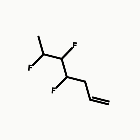 C=CCC(F)C(F)C(C)F